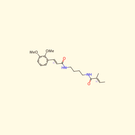 C/C=C(\C)C(=O)NCCCCNC(=O)/C=C/c1cccc(OC)c1OC